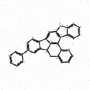 c1ccc(-c2ccc3c(c2)C2Cc4ccccc4-c4c2c-3cc2[nH]c3ccccc3c42)cc1